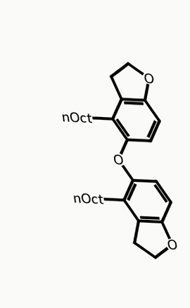 CCCCCCCCc1c(Oc2ccc3c(c2CCCCCCCC)CCO3)ccc2c1CCO2